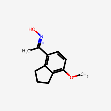 COc1ccc(/C(C)=N/O)c2c1CCC2